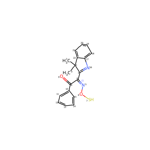 CC1(C)C(/C(=N/OS)C(=O)c2ccccc2)=Nc2ccccc21